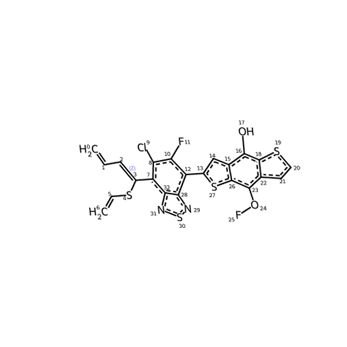 C=C/C=C(\SC=C)c1c(Cl)c(F)c(-c2cc3c(O)c4sccc4c(OF)c3s2)c2nsnc12